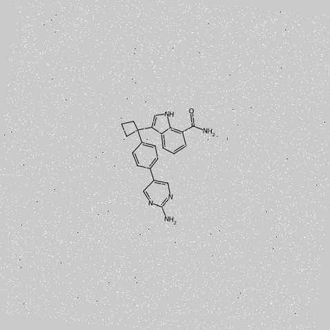 NC(=O)c1cccc2c(C3(c4ccc(-c5cnc(N)nc5)cc4)CCC3)c[nH]c12